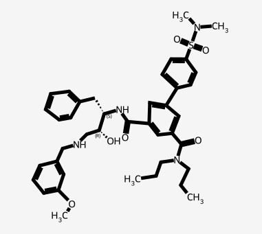 CCCN(CCC)C(=O)c1cc(C(=O)N[C@@H](Cc2ccccc2)[C@H](O)CNCc2cccc(OC)c2)cc(-c2ccc(S(=O)(=O)N(C)C)cc2)c1